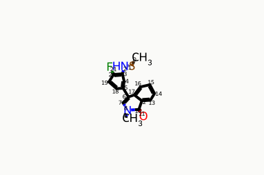 CSNc1cc(-c2cn(C)c(=O)c3ccccc23)ccc1F